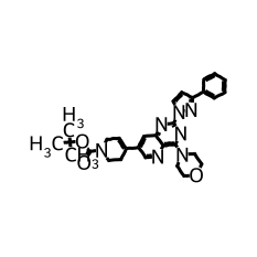 CC(C)(C)OC(=O)N1CC=C(c2cnc3c(N4CCOCC4)nc(-n4ccc(-c5ccccc5)n4)nc3c2)CC1